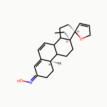 CC[C@]12CCC3C(C=CC4=CC(=NO)CC[C@@H]43)C1CC[C@@]21C=CCO1